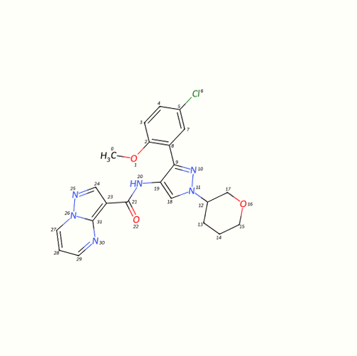 COc1ccc(Cl)cc1-c1nn(C2CCCOC2)cc1NC(=O)c1cnn2cccnc12